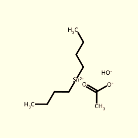 CC(=O)[O-].CCC[CH2][Sn+2][CH2]CCC.[OH-]